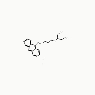 Cl.Cl.Cl.Cl.NCCC(CN)NCCCNCc1c2ccccc2cc2ccccc12